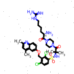 Cc1cc(C)c2cc(OCc3c(Cl)ccc(S(=O)(=O)NC(C)(C)C(=O)N4CCN(C(=O)[C@@H](N)CCCCNC(=N)N)CC4)c3Cl)ccc2n1